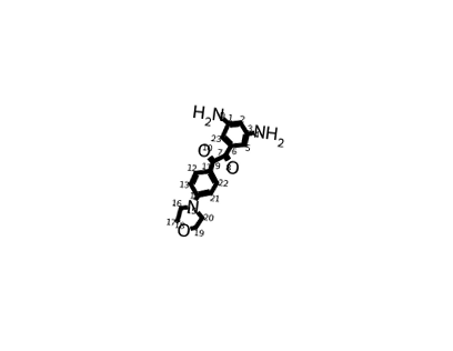 Nc1cc(N)cc(C(=O)C(=O)c2ccc(N3CCOCC3)cc2)c1